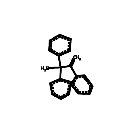 C=C(c1ccccc1)C([SiH3])(c1ccccc1)c1ccccc1